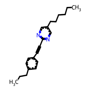 CCCCCCc1cnc(C#Cc2ccc(CCC)cc2)nc1